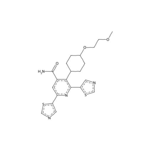 COCCOC1CCC(c2c(C(N)=O)cc(-c3cncs3)nc2-c2cncs2)CC1